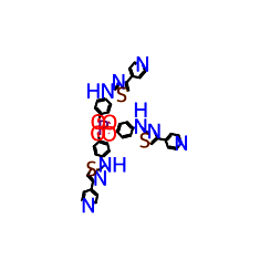 O=P(Oc1ccc(Nc2nc(-c3ccncc3)cs2)cc1)(Oc1ccc(Nc2nc(-c3ccncc3)cs2)cc1)Oc1ccc(Nc2nc(-c3ccncc3)cs2)cc1